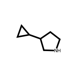 C1CC(C2CC2)CN1